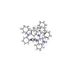 CC1CCCCC1N1C2=C(CC3C(C2)N(C2C(C4=CCCC=C4)NC4CCCCC4N2C)C2CCC4CCCCC4(C)C32)C2CCCCC21